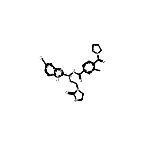 Cc1cc(C(=O)N[C@@H](CCN2CCNC2=O)c2nc3cc(Cl)ccc3[nH]2)ccc1C(=O)N1CCCC1